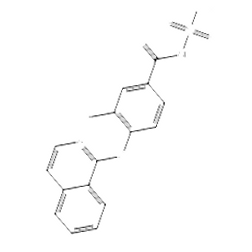 CS(=O)(=O)NC(=O)c1ccc(Oc2nccc3ccccc23)c(Cl)c1